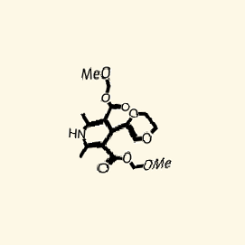 COCOC(=O)C1=C(C)NC(C)=C(C(=O)OCOC)C1C1=COCCO1